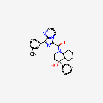 N#Cc1cccc(-c2nc(C(=O)N3CCC(O)(c4ccccc4)C4CCCCC43)n3cccnc23)c1